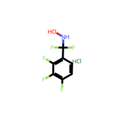 Cl.ONC(F)(F)c1ccc(F)c(F)c1F